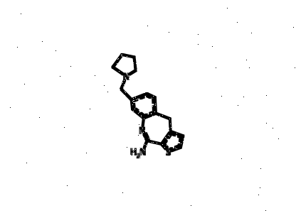 NC1=Nc2cc(CN3CCCC3)ccc2Cc2ccsc21